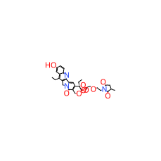 CCc1c2c(nc3ccc(O)cc13)-c1cc3c(c(=O)n1C2)COC(=O)[C@@]3(CC)OC(=O)COCCN1C(=O)CC(C)C1=O